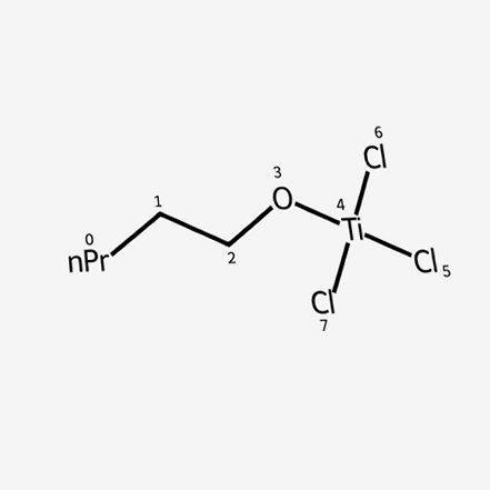 CCCCC[O][Ti]([Cl])([Cl])[Cl]